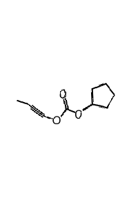 CC#COC(=O)OC1CCCC1